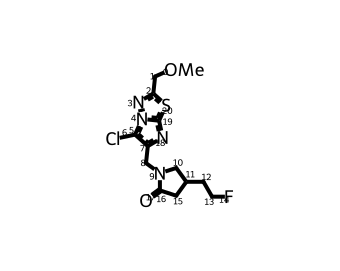 COCc1nn2c(Cl)c(CN3CC(CCF)CC3=O)nc2s1